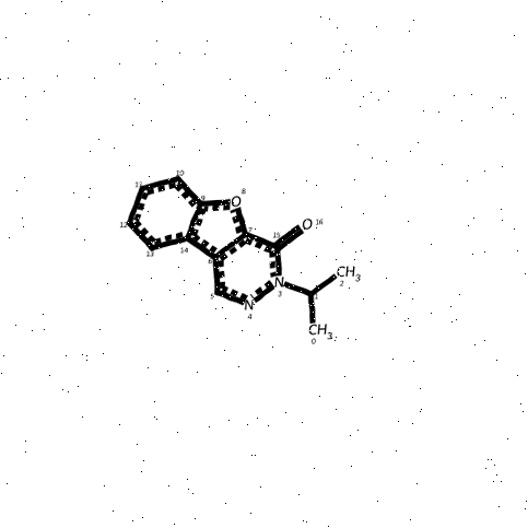 CC(C)n1ncc2c(oc3ccccc32)c1=O